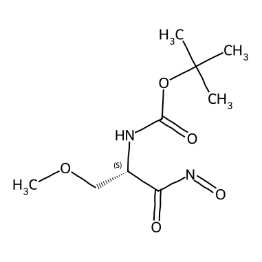 COC[C@H](NC(=O)OC(C)(C)C)C(=O)N=O